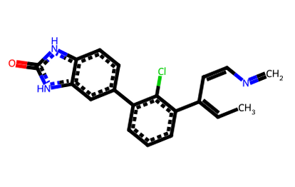 C=N/C=C\C(=C/C)c1cccc(-c2ccc3[nH]c(=O)[nH]c3c2)c1Cl